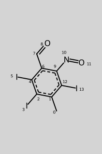 Cc1c(I)c(I)c(C=O)c(N=O)c1I